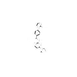 Cc1nccn1-c1ccc(C(C)Nc2nccc(N3CCOC3=O)n2)cc1